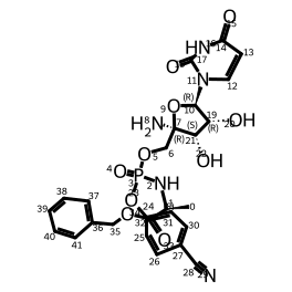 C[C@H](NP(=O)(OC[C@@]1(N)O[C@@H](n2ccc(=O)[nH]c2=O)[C@H](O)[C@@H]1O)Oc1ccc(C#N)cc1)C(=O)OCc1ccccc1